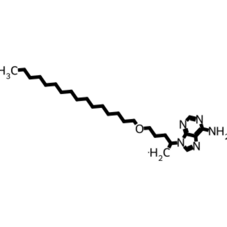 [CH2]C(CCCOCCCCCCCCCCCCCCCC)n1cnc2c(N)ncnc21